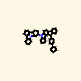 c1ccc(-c2ccc(C3c4ccccc4-c4ccc5c(c43)c3ccccc3n5-c3ccc4c5cccc6c7ccccc7n(c4c3)c65)cc2)cc1